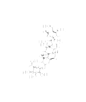 CC1=C(CO)C(=O)O[C@@](C)([C@@H](C)[C@H]2CCC3[C@@H]4CC=C5C[C@@H](OC6OC(CO)C(O)C(O)C6O)CC(=O)C5[C@H]4CC[C@@]32C)C1